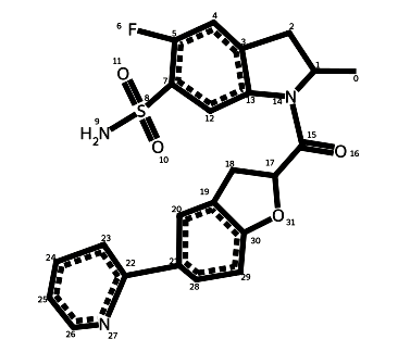 CC1Cc2cc(F)c(S(N)(=O)=O)cc2N1C(=O)C1Cc2cc(-c3ccccn3)ccc2O1